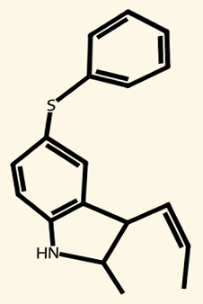 C/C=C\C1c2cc(Sc3ccccc3)ccc2NC1C